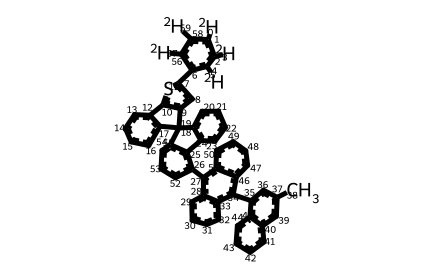 [2H]c1c([2H])c([2H])c(-c2cc3c(s2)-c2ccccc2C32c3ccccc3-c3c(-c4c5ccccc5c(-c5cc(C)cc6ccccc56)c5ccccc45)cccc32)c([2H])c1[2H]